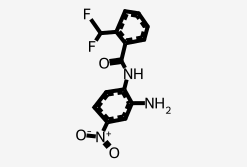 Nc1cc([N+](=O)[O-])ccc1NC(=O)c1ccccc1C(F)F